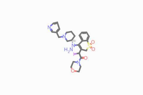 NN(C1=C(C(I)C(=O)N2CCOCC2)CS(=O)(=O)c2ccccc21)[C@H]1CCCN(Cc2cccnc2)C1